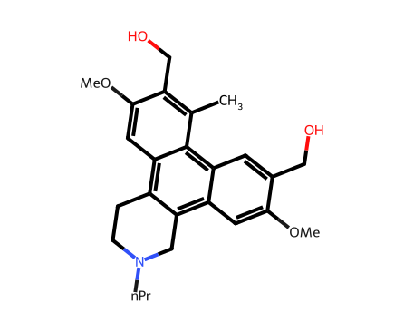 CCCN1CCc2c(c3cc(OC)c(CO)cc3c3c(C)c(CO)c(OC)cc23)C1